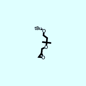 CC(C)(C)OCCC(C)(C)OCC1CO1